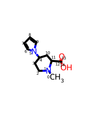 CN1CCC(n2cccc2)CC1C(=O)O